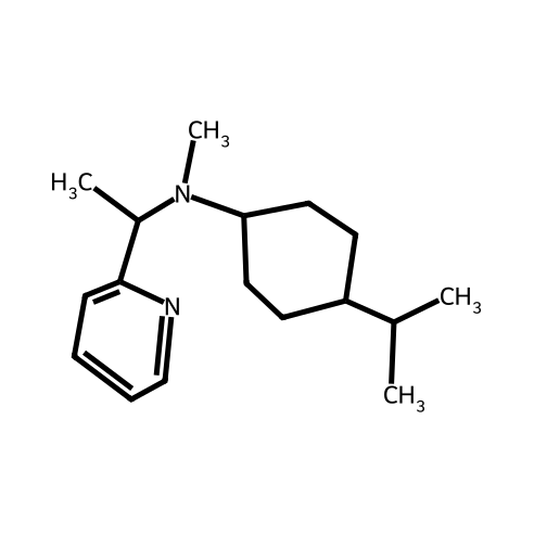 CC(C)C1CCC(N(C)C(C)c2ccccn2)CC1